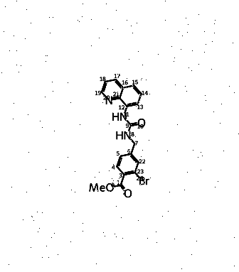 COC(=O)c1ccc(CNC(=O)Nc2cccc3cccnc23)cc1Br